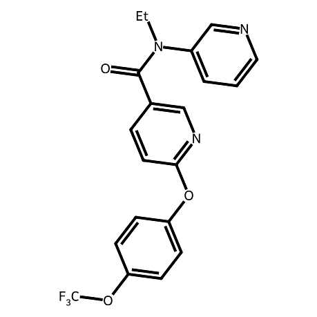 CCN(C(=O)c1ccc(Oc2ccc(OC(F)(F)F)cc2)nc1)c1cccnc1